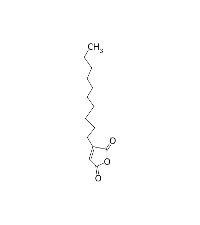 CCCCCCCCCCC1=CC(=O)OC1=O